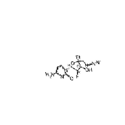 CC[C@@]1(CN=[N+]=[N-])O[C@@H](n2ccc(N)nc2=O)[C@H](F)[C@@H]1O